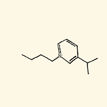 CCCC[n+]1cccc(C(C)C)c1